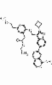 CCOC(=O)Cc1cc(CCOC)ccc1OCc1c2cc(-c3ccc4ccnc(N)c4c3)ccc2nn1C1CCC1